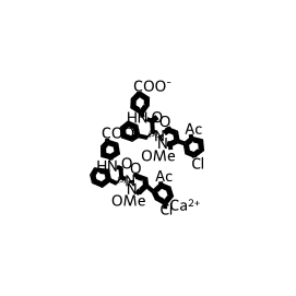 COc1nn([C@@H](Cc2ccccc2)C(=O)Nc2ccc(C(=O)[O-])cc2)c(=O)cc1-c1cc(Cl)ccc1C(C)=O.COc1nn([C@@H](Cc2ccccc2)C(=O)Nc2ccc(C(=O)[O-])cc2)c(=O)cc1-c1cc(Cl)ccc1C(C)=O.[Ca+2]